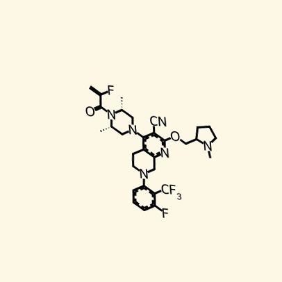 C=C(F)C(=O)N1[C@H](C)CN(c2c(C#N)c(OCC3CCCN3C)nc3c2CCN(c2cccc(F)c2C(F)(F)F)C3)C[C@@H]1C